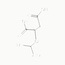 CCCCC(O)NC(CC(N)=O)C(N)=O